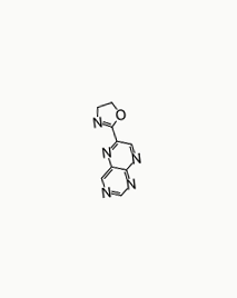 c1ncc2nc(C3=NCCO3)cnc2n1